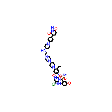 CCc1cc(Nc2ncc(Cl)c(Nc3ccc(OC)cc3CS(=O)(=O)NC)n2)c(OC)cc1N1CCC(N2CCN(CCNC3CCN(c4ccc(C5CCC(=O)NC5=O)cc4)CC3)CC2)CC1